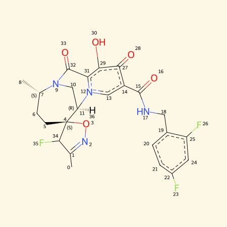 CC1=NO[C@]2(CC[C@H](C)N3C[C@H]2n2cc(C(=O)NCc4ccc(F)cc4F)c(=O)c(O)c2C3=O)C1F